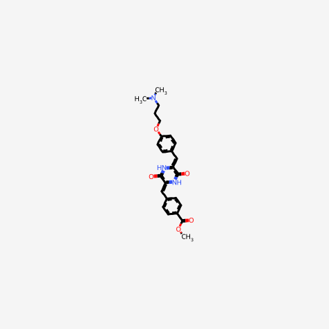 COC(=O)c1ccc(C=c2[nH]c(=O)c(=Cc3ccc(OCCCN(C)C)cc3)[nH]c2=O)cc1